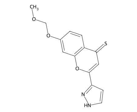 COCOc1ccc2c(=S)cc(-c3cc[nH]n3)oc2c1